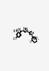 CN1C2CC[C@H]1CC(n1cc(-n3cc(-c4n[nH]c5cc(Cl)ccc45)nn3)cn1)C2